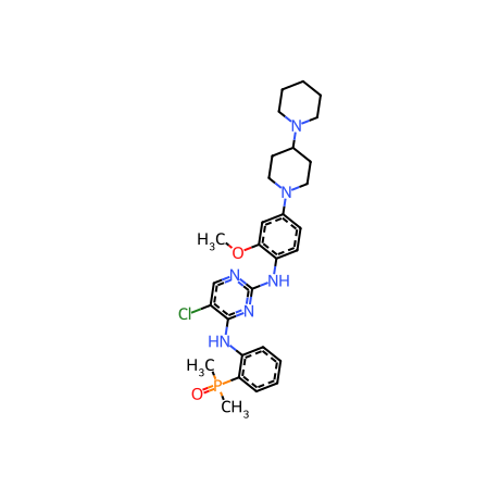 COc1cc(N2CCC(N3CCCCC3)CC2)ccc1Nc1ncc(Cl)c(Nc2ccccc2P(C)(C)=O)n1